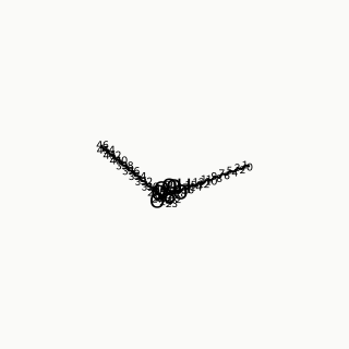 CCCCCCCCCCCCCCCCCCOC(=O)C1CCCC(C(=O)OCCCCCCCCCCCCCCCCCC)C1C(=O)O